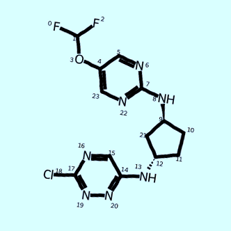 FC(F)Oc1cnc(N[C@H]2CC[C@H](Nc3cnc(Cl)nn3)C2)nc1